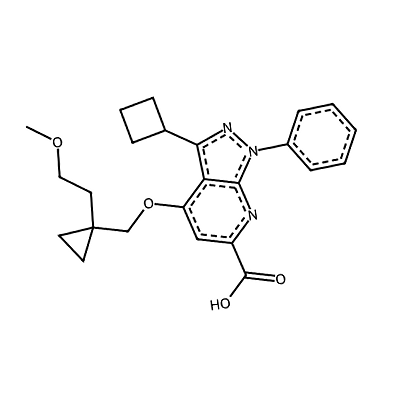 COCCC1(COc2cc(C(=O)O)nc3c2c(C2CCC2)nn3-c2ccccc2)CC1